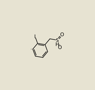 O=[SH](=O)Cc1ccc[c]c1I